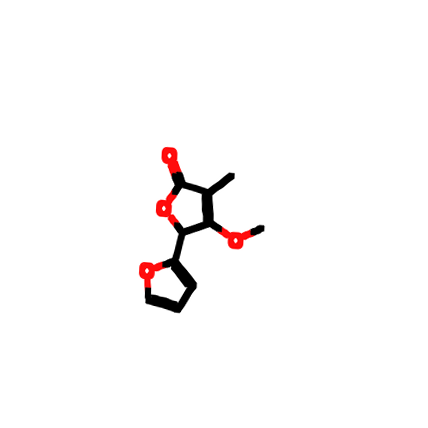 COC1=C(C)C(=O)OC1c1ccco1